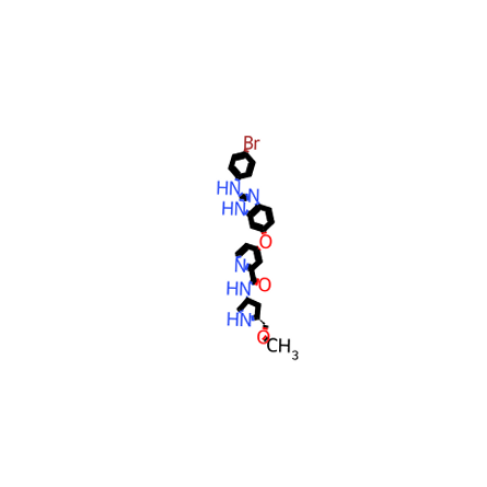 COC[C@H]1C[C@@H](NC(=O)c2cc(Oc3ccc4nc(Nc5ccc(Br)cc5)[nH]c4c3)ccn2)CN1